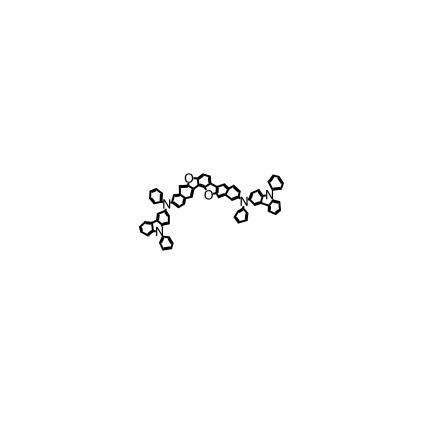 c1ccc(N(c2ccc3cc4c(cc3c2)oc2c4ccc3oc4cc5cc(N(c6ccccc6)c6ccc7c(c6)c6ccccc6n7-c6ccccc6)ccc5cc4c32)c2ccc3c(c2)c2ccccc2n3-c2ccccc2)cc1